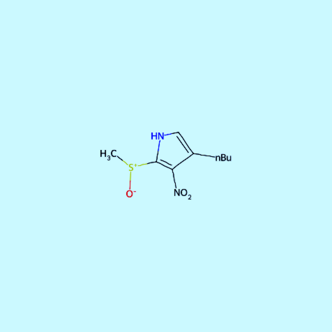 CCCCc1c[nH]c([S+](C)[O-])c1[N+](=O)[O-]